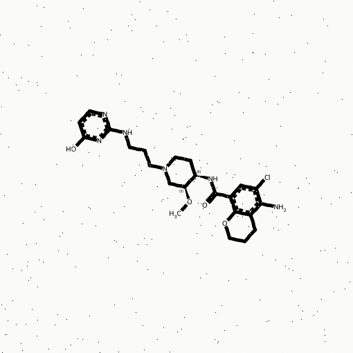 CO[C@H]1CN(CCCNc2nccc(O)n2)CC[C@H]1NC(=O)c1cc(Cl)c(N)c2c1OCCC2